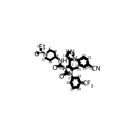 CC[S+]([O-])N1CCC(NC(=O)n2c(-c3ccnn3-c3ccc(C#N)cc3)c(C)n(-c3cccc(C(F)(F)F)c3)c2=O)CC1